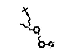 CCCN(C/C=C/C#CC(C)(C)C)Cc1cccc(OCc2cccc(-c3cncs3)c2)c1